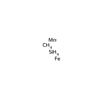 C.[Fe].[Mn].[SiH4]